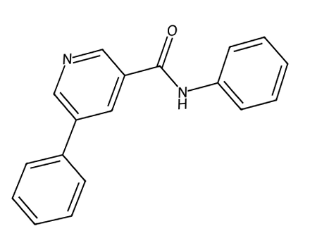 O=C(Nc1ccccc1)c1cncc(-c2ccccc2)c1